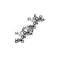 Cc1c(F)cc(C(=O)NC2CC2)cc1-c1ccc(C(=O)NC(C)COCC2CC2NC(=O)c2cc(F)c(C)c(-c3ccc(C(=O)NCC4CCCC4)cn3)c2)cn1